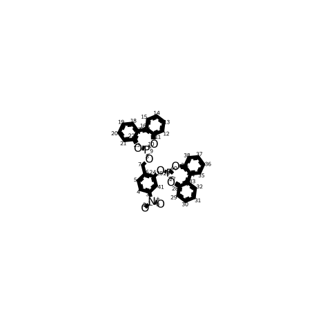 O=[N+]([O-])c1ccc(COp2oc3ccccc3c3ccccc3o2)c(Op2oc3ccccc3c3ccccc3o2)c1